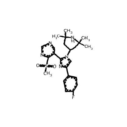 CC1(C)CC(n2cc(-c3ccc(F)cc3)nc2-c2cncnc2S(C)(=O)=O)CC(C)(C)N1